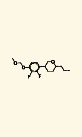 CCCC1CCC(c2ccc(OCOC)c(F)c2F)CO1